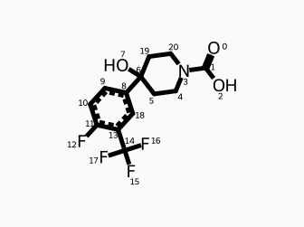 O=C(O)N1CCC(O)(c2ccc(F)c(C(F)(F)F)c2)CC1